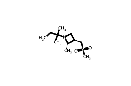 CCC(C)(C)N1C[C@@H](CS(C)(=O)=O)[C@@H]1C